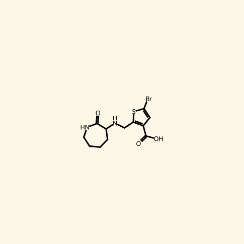 O=C(O)c1cc(Br)sc1CNC1CCCCNC1=O